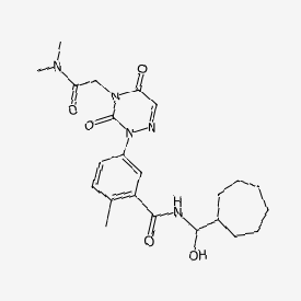 Cc1ccc(-n2ncc(=O)n(CC(=O)N(C)C)c2=O)cc1C(=O)NC(O)C1CCCCCC1